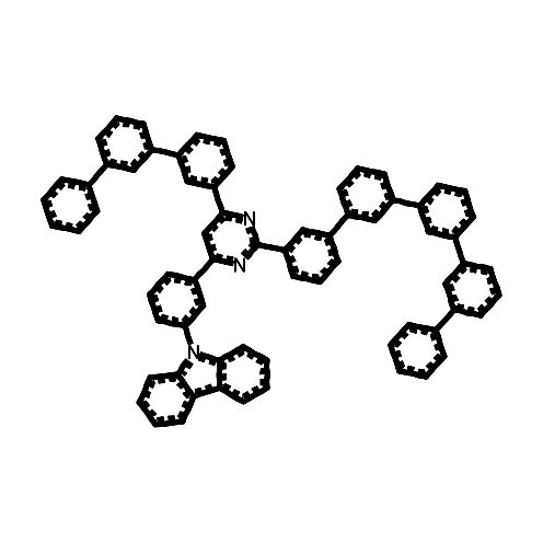 c1ccc(-c2cccc(-c3cccc(-c4cccc(-c5cccc(-c6nc(-c7cccc(-c8cccc(-c9ccccc9)c8)c7)cc(-c7cccc(-n8c9ccccc9c9ccccc98)c7)n6)c5)c4)c3)c2)cc1